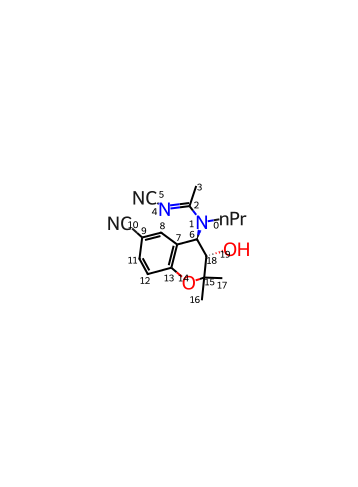 CCCN(C(C)=NC#N)[C@@H]1c2cc(C#N)ccc2OC(C)(C)[C@H]1O